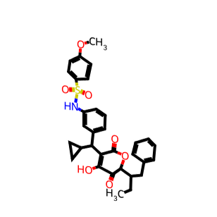 CCC(Cc1ccccc1)C1OC(=O)C(C(c2cccc(NS(=O)(=O)c3ccc(OC)cc3)c2)C2CC2)=C(O)C1=O